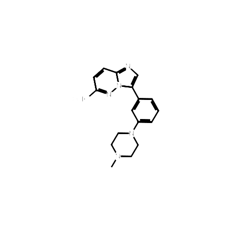 CN1CCN(c2cccc(-c3cnc4ccc(C=O)nn34)c2)CC1